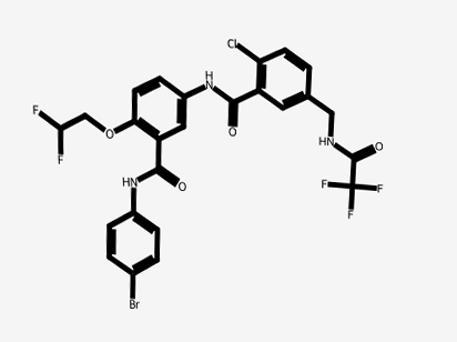 O=C(Nc1ccc(OCC(F)F)c(C(=O)Nc2ccc(Br)cc2)c1)c1cc(CNC(=O)C(F)(F)F)ccc1Cl